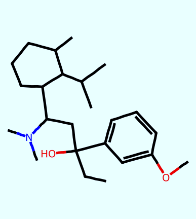 CCC(O)(CC(C1CCCC(C)C1C(C)C)N(C)C)c1cccc(OC)c1